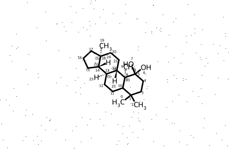 CC1(C)CCC(O)(O)[C@@]2(C)C1CC[C@H]1[C@@H]3CCC[C@@]3(C)CC[C@@H]12